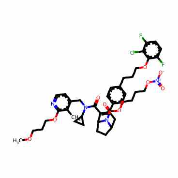 COCCCOc1nccc(CN(C(=O)C2=C(c3ccc(CCCOc4c(F)ccc(F)c4Cl)cc3)CC3CCC2N3C(=O)OCCCCO[N+](=O)[O-])C2CC2)c1C